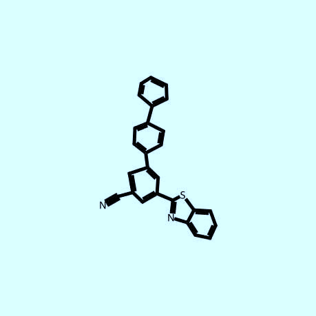 N#Cc1cc(-c2ccc(-c3ccccc3)cc2)cc(-c2nc3ccccc3s2)c1